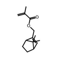 C=C(C)C(=O)OCC1=CC2CCC1C2(C)C